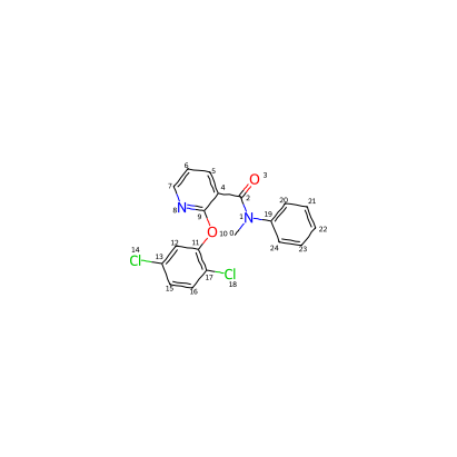 CN(C(=O)c1cccnc1Oc1cc(Cl)ccc1Cl)c1ccccc1